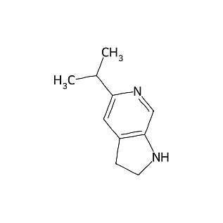 CC(C)c1cc2c(cn1)NCC2